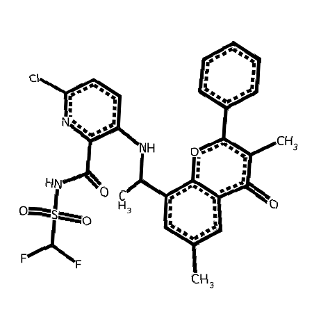 Cc1cc(C(C)Nc2ccc(Cl)nc2C(=O)NS(=O)(=O)C(F)F)c2oc(-c3ccccc3)c(C)c(=O)c2c1